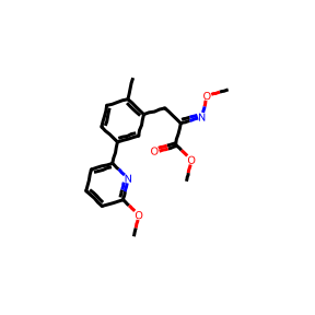 CO/N=C(\Cc1cc(-c2cccc(OC)n2)ccc1C)C(=O)OC